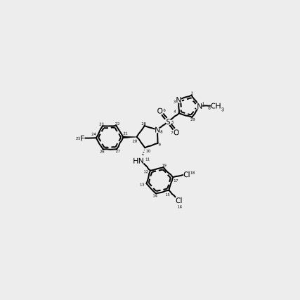 Cn1cnc(S(=O)(=O)N2C[C@H](Nc3ccc(Cl)c(Cl)c3)[C@@H](c3ccc(F)cc3)C2)c1